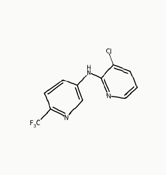 FC(F)(F)c1ccc(Nc2ncccc2Cl)cn1